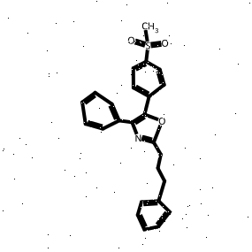 CS(=O)(=O)c1ccc(-c2oc(CCCc3ccccc3)nc2-c2ccccc2)cc1